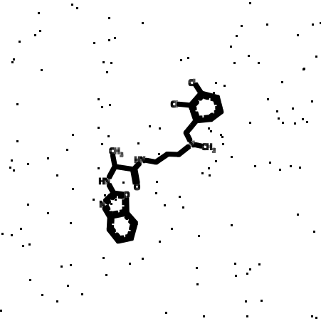 CC(Nc1nc2ccccc2o1)C(=O)NCCCN(C)Cc1cccc(Cl)c1Cl